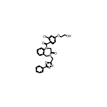 O=C1CN(C(=O)c2ccc(OCCO)cc2Cl)c2ccccc2CN1Cc1nnc(-c2ccccc2)o1